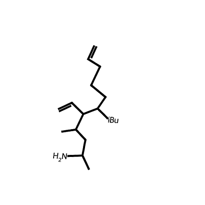 C=CCCCC(C(C)CC)C(C=C)C(C)CC(C)N